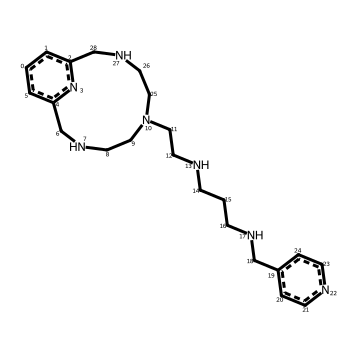 c1cc2nc(c1)CNCCN(CCNCCCNCc1ccncc1)CCNC2